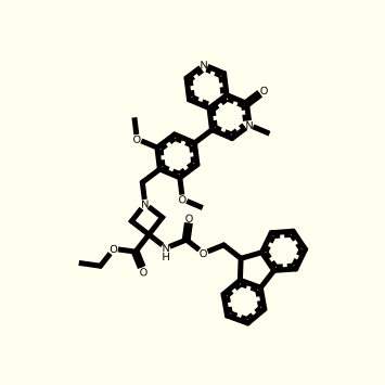 CCOC(=O)C1(NC(=O)OCC2c3ccccc3-c3ccccc32)CN(Cc2c(OC)cc(-c3cn(C)c(=O)c4cnccc34)cc2OC)C1